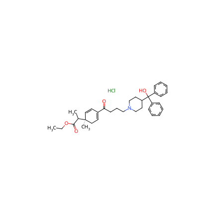 CCOC(=O)C(C)[C@@]1(C)C=CC(C(=O)CCCN2CCC(C(O)(c3ccccc3)c3ccccc3)CC2)=CC1.Cl